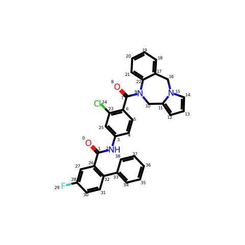 O=C(Nc1ccc(C(=O)N2Cc3cccn3Cc3ccccc32)c(Cl)c1)c1cc(F)ccc1-c1ccccc1